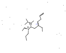 C=CC/C=C(\CC)CC([C@H](CC)CCC)N(C)C(C)C